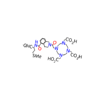 CSCC[C@@H]([C]=O)NC(=O)c1cccc2c1CCN(C(=O)CN1CCN(CC(=O)O)CCN(CC(=O)O)CCN(CC(=O)O)CC1)C2